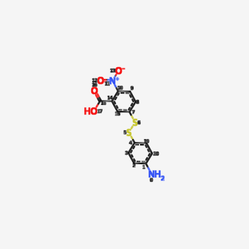 Nc1ccc(SSc2ccc([N+](=O)[O-])c(C(=O)O)c2)cc1